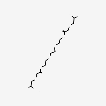 CC(C)CSCC(=O)NCCOCCOCCNC(=O)CSCC(C)C